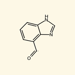 O=[C]c1cccc2[nH]cnc12